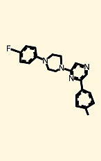 Cc1ccc(-c2cncc(N3CCN(c4ccc(F)cc4)CC3)n2)cc1